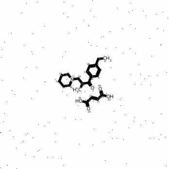 CCc1ccc(C(=O)C(C)CN2CCCCC2)cc1.O=C(O)/C=C/C(=O)O